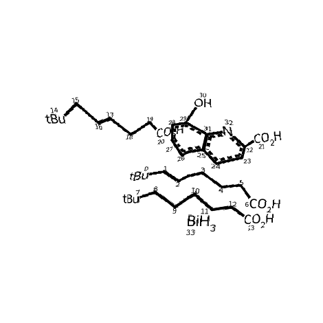 CC(C)(C)CCCCCC(=O)O.CC(C)(C)CCCCCC(=O)O.CC(C)(C)CCCCCC(=O)O.O=C(O)c1ccc2cccc(O)c2n1.[BiH3]